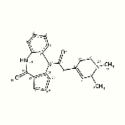 CC1C=C(CC(=O)N2c3ccccc3NC(=O)c3cscc32)CCN1C